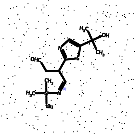 CC(C)(O)c1cnc(C(/C=N\[Si](C)(C)C(C)(C)C)CC=O)s1